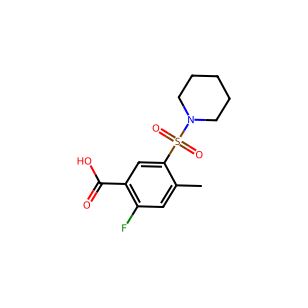 Cc1cc(F)c(C(=O)O)cc1S(=O)(=O)N1CCCCC1